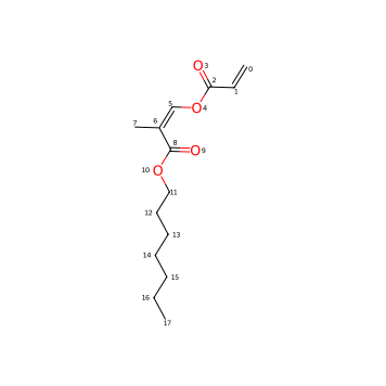 C=CC(=O)OC=C(C)C(=O)OCCCCCCC